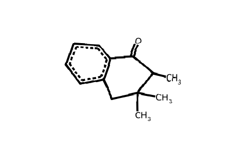 CC1C(=O)c2ccccc2CC1(C)C